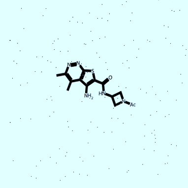 CC(=O)N1CC(NC(=O)c2sc3nnc(C)c(C)c3c2N)C1